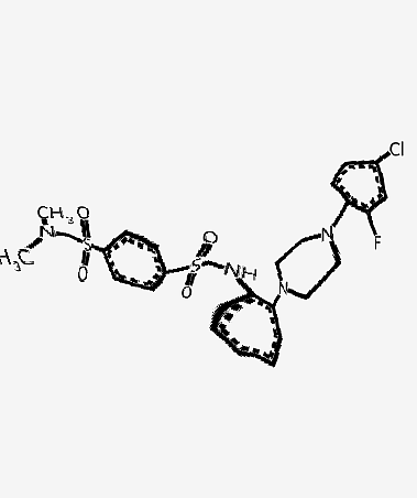 CN(C)S(=O)(=O)c1ccc(S(=O)(=O)Nc2ccccc2N2CCN(c3ccc(Cl)cc3F)CC2)cc1